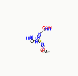 CSOON1CCN(Cc2cc3nc(-c4cccc5[nH]ncc45)nc(N4CCN(CCCCC(=O)NO)CC4)c3s2)CC1